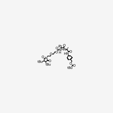 CC(C)[C@H](NC(=O)OCCOCCN1C(=O)C(C(C)(C)C)C(C(C)(C)C)C1=O)C(=O)N[C@@H](C)C(=O)Nc1ccc(COC(=O)C(C)(C)C)cc1